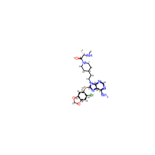 CN[C@@H](C)C(=O)N1CCC(CCn2c(Sc3cc4c(cc3Br)OCO4)nc3c(N)ncnc32)CC1